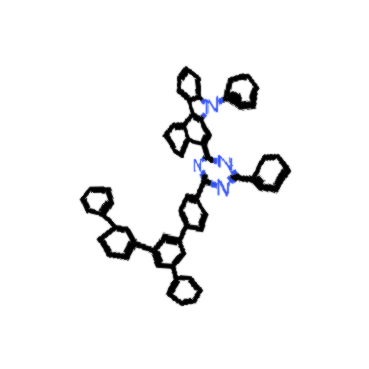 c1ccc(-c2cccc(-c3cc(-c4ccccc4)cc(-c4ccc(-c5nc(-c6ccccc6)nc(-c6cc7c(c8ccccc68)c6ccccc6n7-c6ccccc6)n5)cc4)c3)c2)cc1